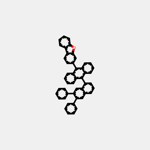 c1ccc(-c2cc3cccc(-c4c5ccccc5c(-c5ccc6c(c5)oc5ccccc56)c5ccccc45)c3cc2-c2ccccc2)cc1